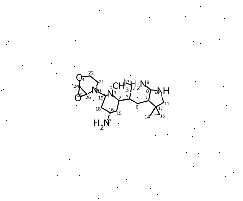 CN1C(C(CI)CC2C(N)NCC23CC3)CC(N)CC1N1CCOC2OC21